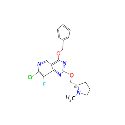 CN1CCC[C@H]1COc1nc(OCc2ccccc2)c2cnc(Cl)c(F)c2n1